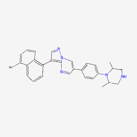 CC(=O)c1cccc2c(-c3cnn4cc(-c5ccc(N6C(C)CNCC6C)cc5)cnc34)cccc12